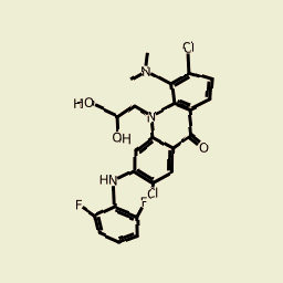 CN(C)c1c(Cl)ccc2c(=O)c3cc(Cl)c(Nc4c(F)cccc4F)cc3n(CC(O)O)c12